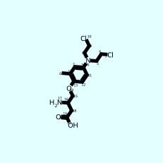 Cc1cc(N(CCCl)CCCl)ccc1OCC(N)CC(=O)O